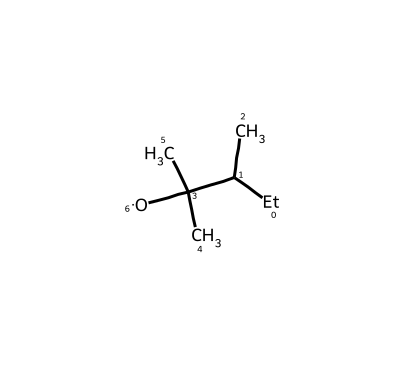 CCC(C)C(C)(C)[O]